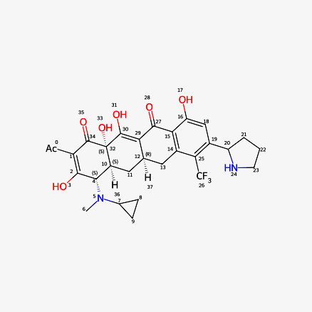 CC(=O)C1=C(O)[C@@H](N(C)C2CC2)[C@@H]2C[C@@H]3Cc4c(c(O)cc(C5CCCN5)c4C(F)(F)F)C(=O)C3=C(O)[C@]2(O)C1=O